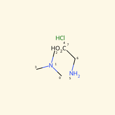 CN(C)C.Cl.NCC(=O)O